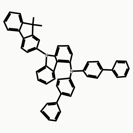 CC1(C)c2ccccc2-c2ccc(-n3c4ccccc4c4c(N(c5ccc(-c6ccccc6)cc5)c5ccc(-c6ccccc6)cc5)cccc43)cc21